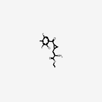 CCOC(=O)C(N)=CC1CC1C(=O)c1cc(F)c(C)c(F)c1Cl